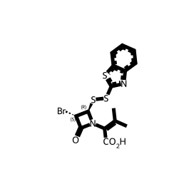 CC(C)=C(C(=O)O)N1C(=O)[C@H](Br)[C@H]1SSc1nc2ccccc2s1